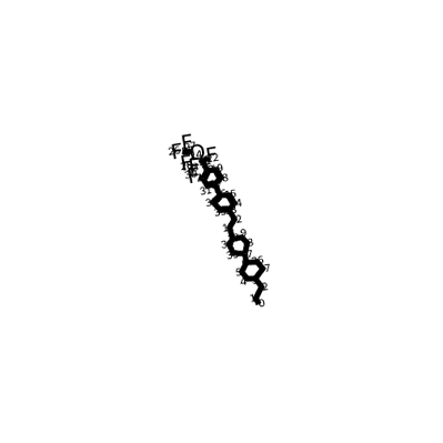 CCCC1CCC(C2CCC(CCc3ccc(-c4ccc(C(F)(F)OC(F)(F)F)c(F)c4)cc3)CC2)CC1